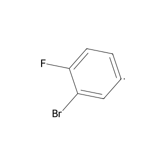 Fc1cc[c]cc1Br